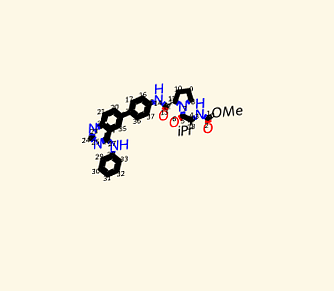 COC(=O)N[C@H](C(=O)N1CCC[C@H]1C(=O)Nc1ccc(-c2ccc3ncnc(Nc4ccccc4)c3c2)cc1)C(C)C